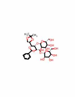 CC1(C)OC[C@H]([C@H]2OC(c3ccccc3)O[C@@H](CO[C@@H]3O[C@H](CO)[C@@H](O)[C@H](O)[C@H]3O)[C@H]2O[C@@H]2O[C@H](CO)[C@@H](O)[C@H](O)[C@H]2O)O1